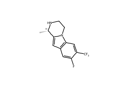 C[C@@H]1NCCn2c1cc1cc(F)c(C(F)(F)F)cc12